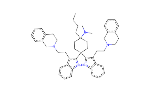 CCCCC1(N(C)C)CCC(c2[nH]c3ccccc3c2CCN2CCc3ccccc3C2)(c2[nH]c3ccccc3c2CCN2CCc3ccccc3C2)CC1